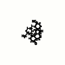 C[C@@H]1CCN(Cc2ccccc2C#N)C[C@@H]1n1ccc(=O)c2cnc3[nH]ccc3c21